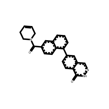 O=C(c1ccc2c(-c3ccc4c(=O)[nH]ncc4c3)cccc2c1)N1CC=CCC1